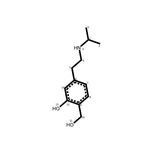 CC(C)NCCc1ccc(CO)c(O)c1